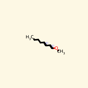 CCCC/C=C/C=C/OC